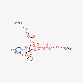 COCCOCCOC(=O)OCOP(=O)(OCOC(=O)OCCOCCOC)OC1[C@]23OC4(CCCC4)O[C@@]2(C)[C@H](n2ccc(=O)[nH]c2=O)O[C@]13CF